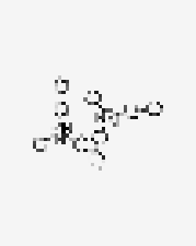 c1ccc(-c2ccc(-c3cc(-c4ccccc4)nc(-c4ccc(C5(c6ccc(-c7nc(-c8ccccc8)cc(-c8ccc(-c9ccccc9)cc8)n7)cc6)CCCCC5)cc4)n3)cc2)cc1